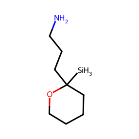 NCCCC1([SiH3])CCCCO1